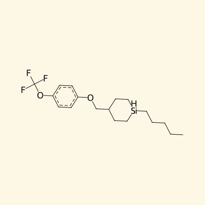 CCCCC[SiH]1CCC(COc2ccc(OC(F)(F)F)cc2)CC1